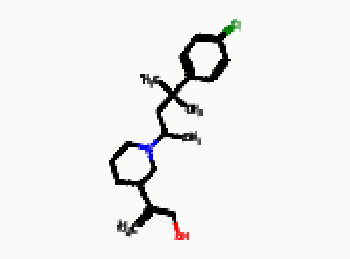 C=C(CO)C1CCCN(C(C)CC(C)(C)c2ccc(Cl)cc2)C1